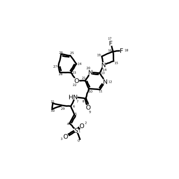 CS(=O)(=O)/C=C/C(NC(=O)c1cnc(N2CC(F)(F)C2)nc1Oc1ccccc1)C1CC1